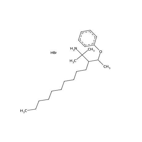 Br.CCCCCCCCCCC(C(C)Oc1ccccc1)C(C)(C)N